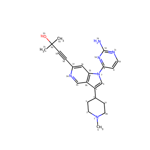 CN1CCC(c2cn(-c3ccnc(N)n3)c3cc(C#CC(C)(C)O)ncc23)CC1